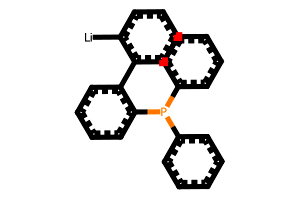 [Li][c]1ccccc1-c1ccccc1P(c1ccccc1)c1ccccc1